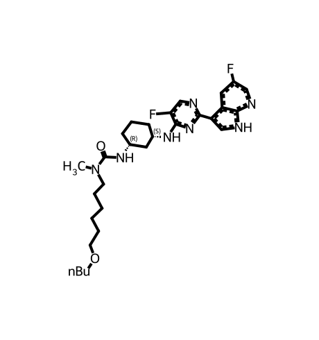 CCCCOCCCCCCN(C)C(=O)N[C@@H]1CCC[C@H](Nc2nc(-c3c[nH]c4ncc(F)cc34)ncc2F)C1